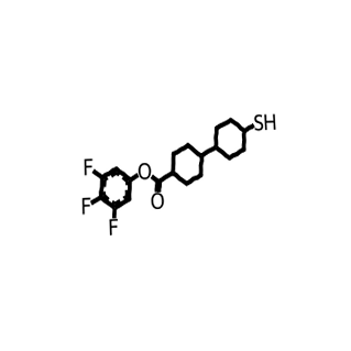 O=C(Oc1cc(F)c(F)c(F)c1)C1CCC(C2CCC(S)CC2)CC1